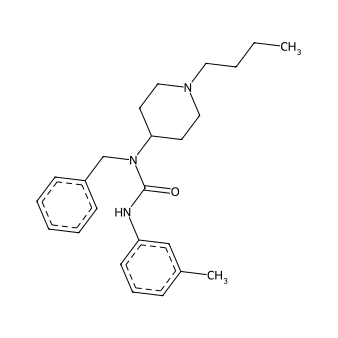 CCCCN1CCC(N(Cc2ccccc2)C(=O)Nc2cccc(C)c2)CC1